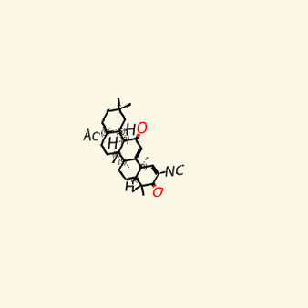 [C-]#[N+]C1=C[C@]2(C)C3=CC(=O)[C@@H]4[C@@H]5CC(C)(C)CC[C@]5(C(C)=O)CC[C@@]4(C)[C@]3(C)CC[C@H]2C(C)(C)C1=O